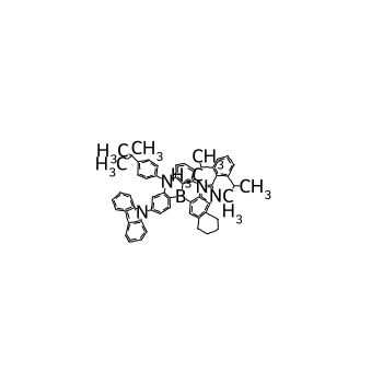 CC(C)c1cccc(C(C)C)c1-c1nc2c3c(cc4c2n1-c1cccc2c1B4c1ccc(-n4c5ccccc5c5ccccc54)cc1N2c1ccc(C(C)(C)C)cc1)CCCC3